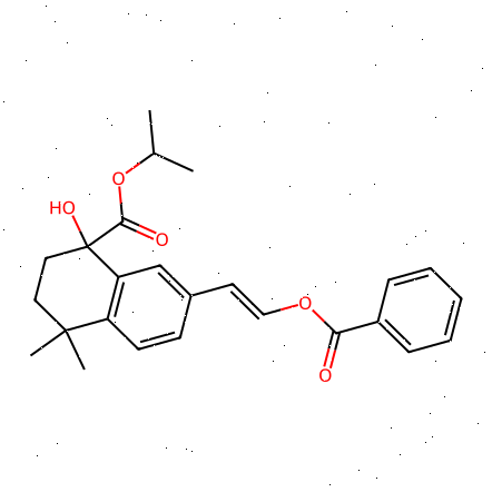 CC(C)OC(=O)C1(O)CCC(C)(C)c2ccc(/C=C/OC(=O)c3ccccc3)cc21